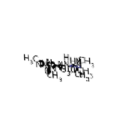 CN/N=C(\C=C(/C)Nc1nc(-c2cnc(-n3cnc(C)c3)c(OC)n2)cs1)C(C)(C)C